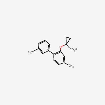 Cc1ccc(-c2cccc(C(F)(F)F)c2)c(OC2(C(=O)O)CC2)c1